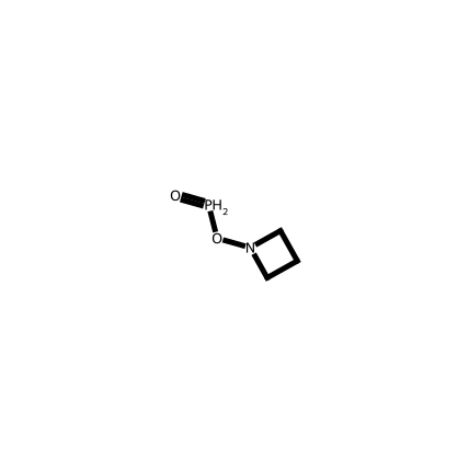 O=[PH2]ON1CCC1